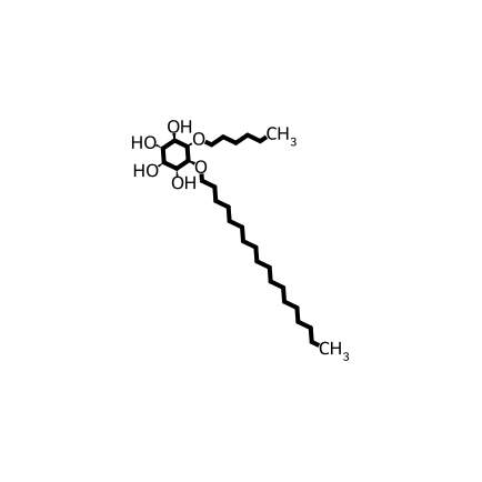 CCCCCCCCCCCCCCCCCCO[C@H]1[C@H](O)[C@H](O)[C@H](O)[C@@H](O)[C@@H]1OCCCCCC